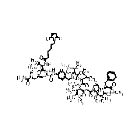 CC[C@H](C)[C@@H]([C@@H](CC(=O)N1CCC[C@H]1[C@H](OC)[C@@H](C)C(=O)N[C@@H](CC1=CC=CCC1)C(=O)OC)OC)N(C)C(=O)[C@@H](NC(=O)[C@H](C(C)C)N(C)CCc1ccc(NC(=O)[C@H](CCCNC(N)=O)NC(=O)[C@@H](NC(=O)CCCCCN2C(=O)C=CC2=O)C(C)C)cc1)C(C)C